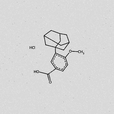 COc1ccc(C(=O)O)cc1C12CC3CC(CC(C3)C1)C2.Cl